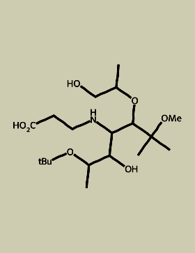 COC(C)(C)C(OC(C)CO)C(NCCC(=O)O)C(O)C(C)OC(C)(C)C